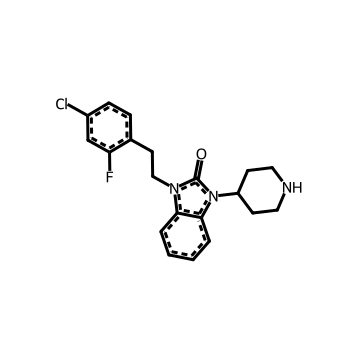 O=c1n(CCc2ccc(Cl)cc2F)c2ccccc2n1C1CCNCC1